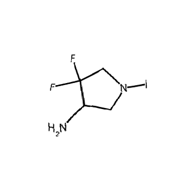 NC1CN(I)CC1(F)F